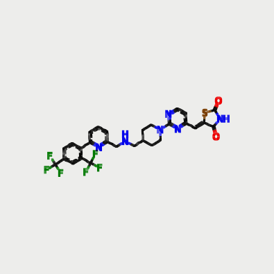 O=C1NC(=O)/C(=C/c2ccnc(N3CCC(CNCc4cccc(-c5ccc(C(F)(F)F)cc5C(F)(F)F)n4)CC3)n2)S1